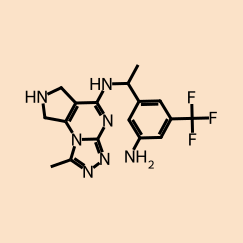 Cc1nnc2nc(NC(C)c3cc(N)cc(C(F)(F)F)c3)c3c(n12)CNC3